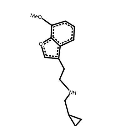 COc1cccc2c(CCNCC3CC3)coc12